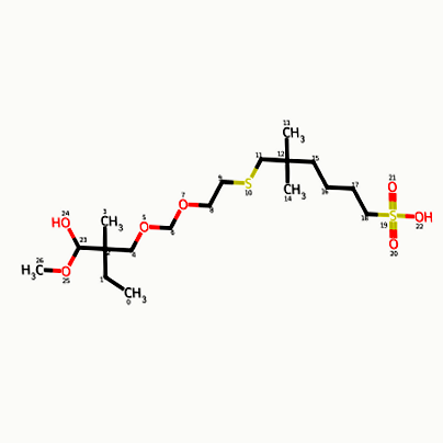 CCC(C)(COCOCCSCC(C)(C)CCCCS(=O)(=O)O)C(O)OC